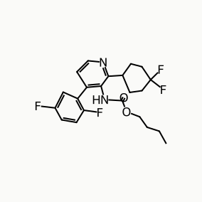 CCCCOC(=O)Nc1c(-c2cc(F)ccc2F)ccnc1C1CCC(F)(F)CC1